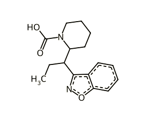 CCC(c1noc2ccccc12)C1CCCCN1C(=O)O